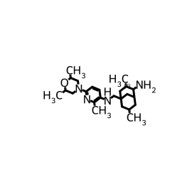 Cc1nc(N2CC(C)OC(C)C2)ccc1NCC12CC(C)CC(C1)C(N)[C@H](C)C2